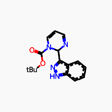 CC(C)(C)OC(=O)N1C=CC=NC1c1n[nH]c2ccccc12